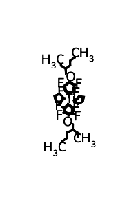 CCCCC(CC)COc1c(F)c(F)[c]([Ti]([C]2=CC=CC2)([C]2=CC=CC2)[c]2c(F)c(F)c(OCC(CC)CCCC)c(F)c2F)c(F)c1F